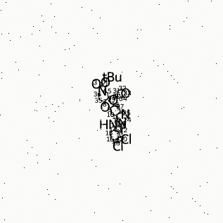 CC(C)(C)OC(=O)N1CCC(Oc2cc3c(Nc4ccc(Cl)c(Cl)c4F)ncnc3cc2O[C@@H]2CCOC2)CC1